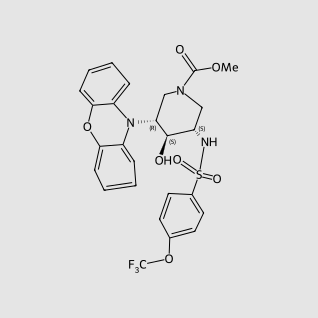 COC(=O)N1C[C@H](NS(=O)(=O)c2ccc(OC(F)(F)F)cc2)[C@@H](O)[C@H](N2c3ccccc3Oc3ccccc32)C1